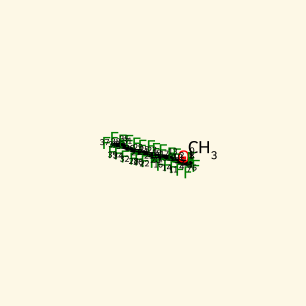 CCOC(F)(C(F)(F)F)C(F)(F)C(F)(F)C(F)(F)C(F)(F)C(F)(F)C(F)(F)C(F)(F)C(F)(F)C(F)(F)C(F)(F)F